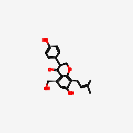 CC(C)=CCc1c(O)cc(CO)c2c1OCC(c1ccc(O)cc1)C2=O